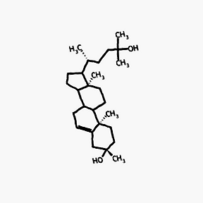 C[C@H](CCC(C)(C)O)C1CCC2C3CC=C4C[C@@](C)(O)CC[C@]4(C)C3CC[C@@]21C